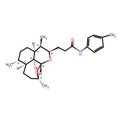 Cc1ccc(NC(=O)CC[C@H]2O[C@@H]3O[C@]4(C)CC[C@H]5[C@H](C)CC[C@@H]([C@H]2C)[C@@]35OO4)cc1